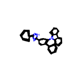 c1ccc(-c2n[nH]c(-c3ccc(-c4ccccc4)c(-n4c5ccccc5c5ccccc54)c3)n2)cc1